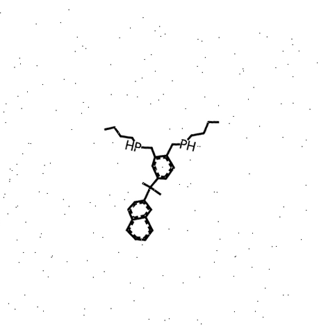 CCCCPCc1ccc(C(C)(C)c2ccc3ccccc3c2)cc1CPCCCC